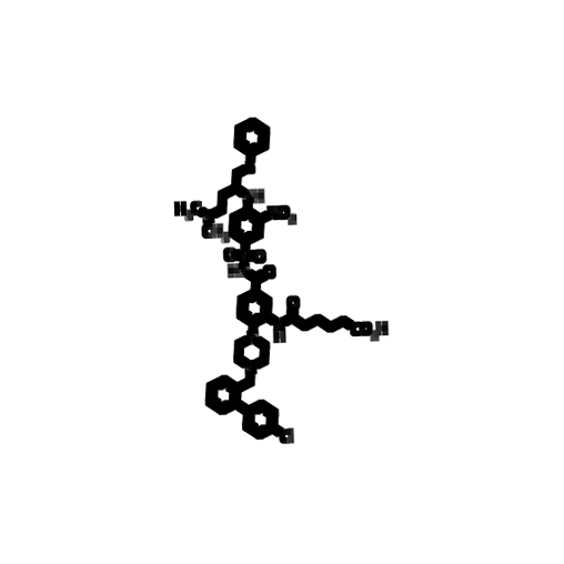 CN(C)CCC(CSc1ccccc1)Nc1ccc(S(=O)(=O)NC(=O)c2ccc(N3CCN(Cc4ccccc4-c4ccc(Cl)cc4)CC3)c(NC(=O)CCCCC(=O)O)c2)cc1[N+](=O)[O-]